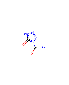 NC(=O)n1nn[nH]c1=O